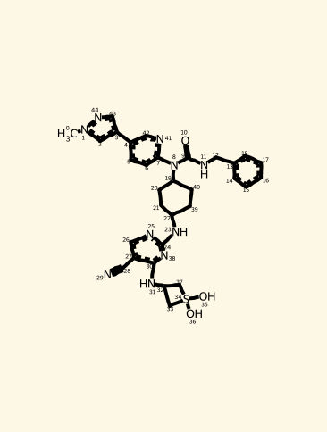 Cn1cc(-c2ccc(N(C(=O)NCc3ccccc3)C3CCC(Nc4ncc(C#N)c(NC5CS(O)(O)C5)n4)CC3)nc2)cn1